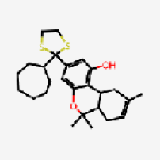 CC1=CCC2C(C1)c1c(O)cc(C3(C4CCCCCC4)SCCS3)cc1OC2(C)C